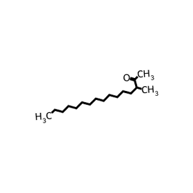 CCCCCCCCCCCCCC(C)C(C)=O